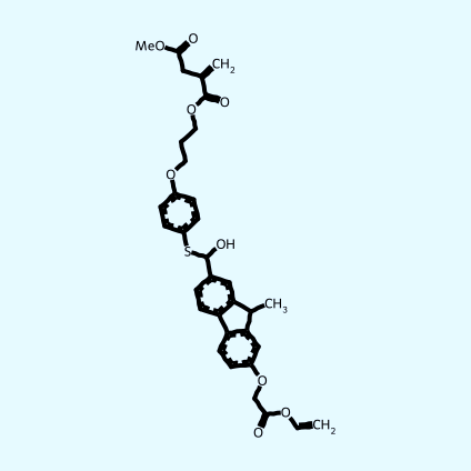 C=COC(=O)COc1ccc2c(c1)C(C)c1cc(C(O)Sc3ccc(OCCCOC(=O)C(=C)CC(=O)OC)cc3)ccc1-2